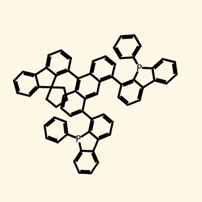 c1ccc(-p2c3ccccc3c3cccc(-c4cccc5c(-c6cccc7c6C6(CCCC6)c6ccccc6-7)c6cccc(-c7cccc8c9ccccc9p(-c9ccccc9)c78)c6cc45)c32)cc1